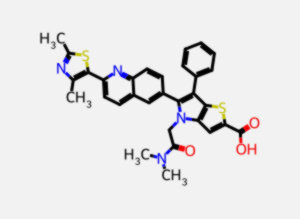 Cc1nc(C)c(-c2ccc3cc(-c4c(-c5ccccc5)c5sc(C(=O)O)cc5n4CC(=O)N(C)C)ccc3n2)s1